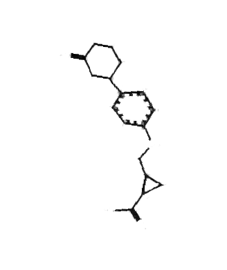 O=C1CCCC(c2ccc(OCC3CC3C(=O)O)cc2)C1